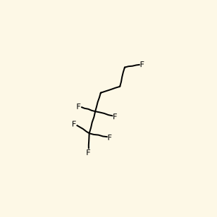 FCCCC(F)(F)C(F)(F)F